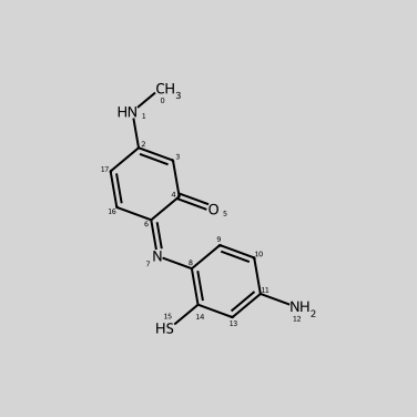 CNC1=CC(=O)/C(=N\c2ccc(N)cc2S)C=C1